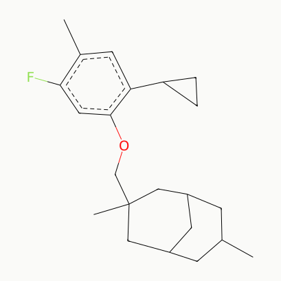 Cc1cc(C2CC2)c(OCC2(C)CC3CC(C)CC(C3)C2)cc1F